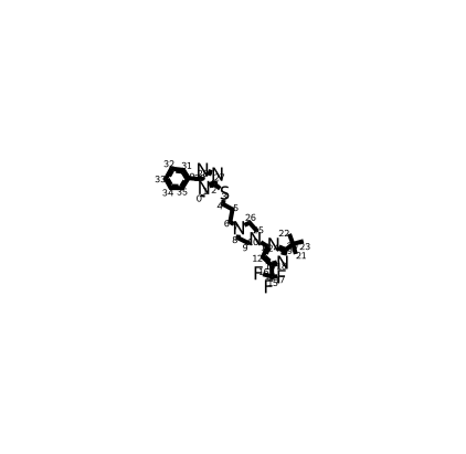 Cn1c(SCCCN2CCN(c3cc(C(F)(F)F)nc(C(C)(C)C)n3)CC2)nnc1-c1ccccc1